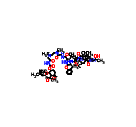 COC1C(OC(=O)NC(=O)CN(C)CCN(C)C(=O)CNC(=O)[C@H](CC(C)C)NC(=O)[C@H](Cc2ccccc2)NC(=O)CNC(=O)C(C)(CC(C)(CC(C)C)C(=O)NCC(C)O)C(C)C)CC[C@]2(CO2)C1C1(C)O[C@@H]1CC=C(C)C